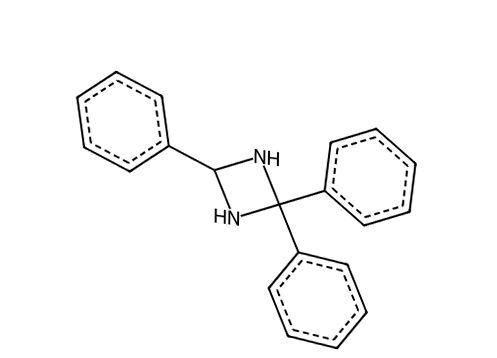 c1ccc(C2NC(c3ccccc3)(c3ccccc3)N2)cc1